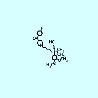 COc1ccc(C(C#N)(CCCCCN2CCC(C(=O)c3ccc(F)cc3)CC2)C(C)C)cc1OC.Cl